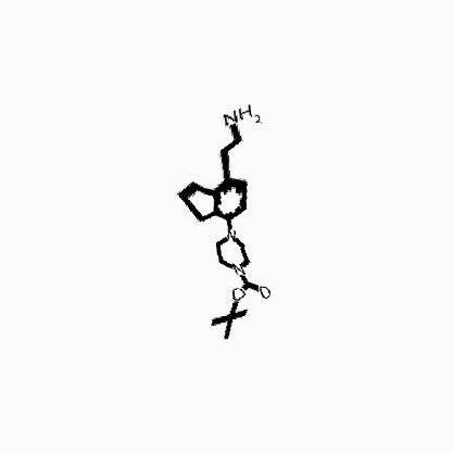 CC(C)(C)OC(=O)N1CCN(c2ccc(CCN)c3c2CCC3)CC1